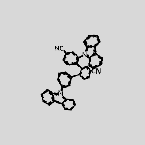 N#Cc1ccc(-c2cccc(-n3c4ccccc4c4ccccc43)c2)c(-c2ccc(C#N)cc2-n2c3ccccc3c3ccccc32)c1